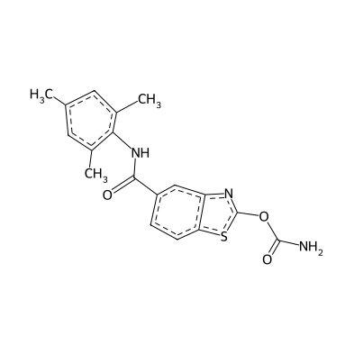 Cc1cc(C)c(NC(=O)c2ccc3sc(OC(N)=O)nc3c2)c(C)c1